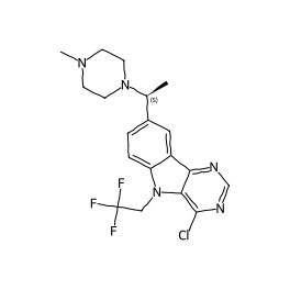 C[C@@H](c1ccc2c(c1)c1ncnc(Cl)c1n2CC(F)(F)F)N1CCN(C)CC1